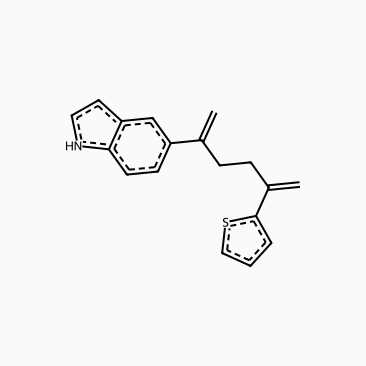 C=C(CCC(=C)c1cccs1)c1ccc2[nH]ccc2c1